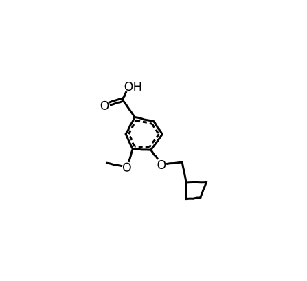 COc1cc(C(=O)O)ccc1OCC1CCC1